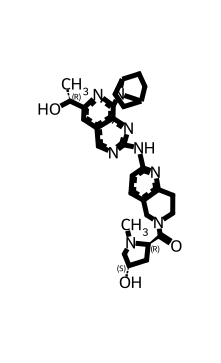 C[C@@H](O)c1cc2cnc(Nc3ccc4c(n3)CCN(C(=O)[C@H]3C[C@H](O)CN3C)C4)nc2c(N2C3CCC2CC3)n1